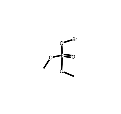 COP(=O)(OC)OBr